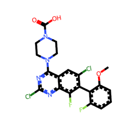 COc1cccc(F)c1-c1c(Cl)cc2c(N3CCN(C(=O)O)CC3)nc(Cl)nc2c1F